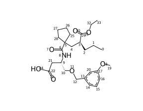 CCC[C@@H](CC1(C(=O)N[C@H](COCc2cccc(OC)c2)CC(=O)O)CCCC1)C(=O)OCC